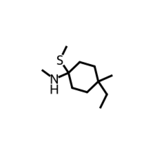 CCC1(C)CCC(NC)(SC)CC1